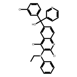 CCN(c1ccccc1)c1c(Cl)nc2ccc(C(O)(c3cccnc3)c3cccc(Cl)c3)cc2c1Cl